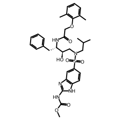 COC(=O)Nc1nc2cc(S(=O)(=O)N(CC(C)C)C[C@@H](O)[C@H](Cc3ccccc3)NC(=O)COc3c(C)cccc3C)ccc2[nH]1